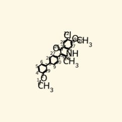 CCOc1cccc(-c2ccc(-c3c(C)[nH]c4cc(OC)c(Cl)cc4c3=O)cc2)c1